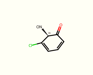 O=N[C@H]1C(=O)C=CC=C1Cl